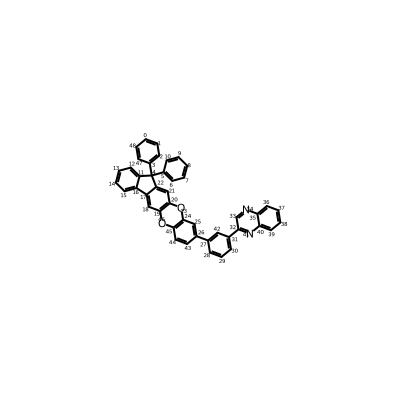 c1ccc(C2(c3ccccc3)c3ccccc3-c3cc4c(cc32)Oc2cc(-c3cccc(-c5cnc6ccccc6n5)c3)ccc2O4)cc1